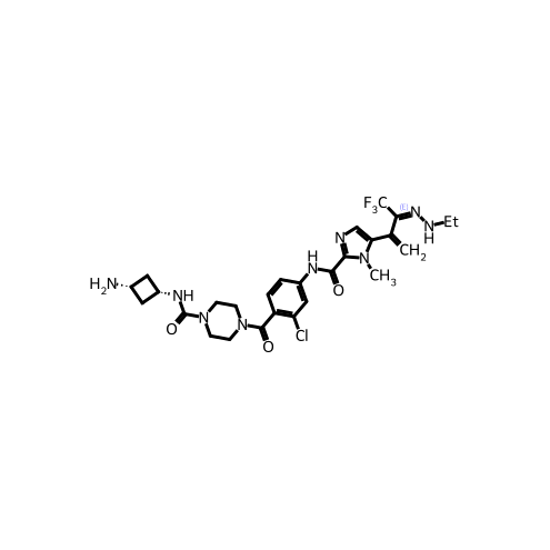 C=C(/C(=N\NCC)C(F)(F)F)c1cnc(C(=O)Nc2ccc(C(=O)N3CCN(C(=O)N[C@H]4C[C@@H](N)C4)CC3)c(Cl)c2)n1C